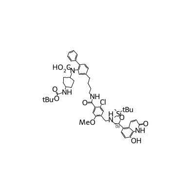 COc1cc(C(=O)NCCCCc2ccc(-c3ccccc3)c(N(C(=O)O)C3CCC(NC(=O)OC(C)(C)C)CC3)c2)c(Cl)cc1CNC[C@@H](O[Si](C)(C)C(C)(C)C)c1ccc(O)c2[nH]c(=O)ccc12